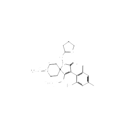 CCOC(=O)OC1=C(c2c(C)cc(C)cc2Br)C(=O)N(OC2CCCO2)C12CCN(OC)CC2